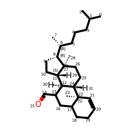 CC(C)CCC[C@@H](C)[C@H]1CC[C@H]2[C@@H]3C(C=O)CC4CCC=C[C@]4(C)[C@H]3CC[C@]12C